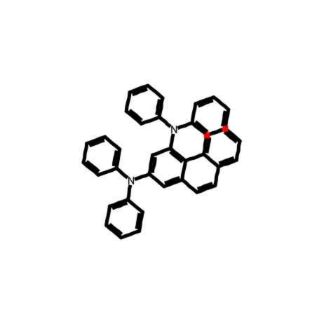 c1ccc(N(c2ccccc2)c2cc(N(c3ccccc3)c3ccccc3)c3c(ccc4ccccc43)c2)cc1